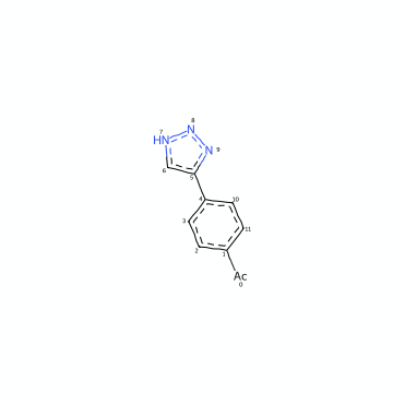 CC(=O)c1ccc(-c2c[nH]nn2)cc1